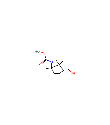 CC(C)(C)OC(=O)N[C@@]1(C)CC[C@@H](CO)C1(C)C